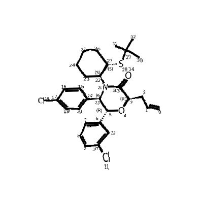 C=CC[C@H]1O[C@H](c2cccc(Cl)c2)[C@@H](c2ccc(Cl)cc2)N([C@H]2CCCC[C@@H]2SC(C)(C)C)C1=O